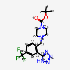 CC(C)(C)OC(=O)N1CCN(Cc2ccc(C(F)(F)F)cc2-c2nnn[nH]2)CC1